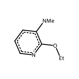 CCOc1ncccc1NC